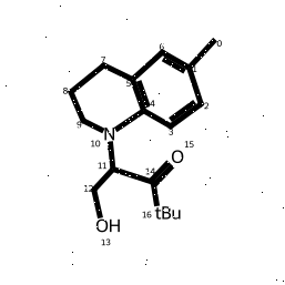 Cc1ccc2c(c1)CCCN2C(CO)C(=O)C(C)(C)C